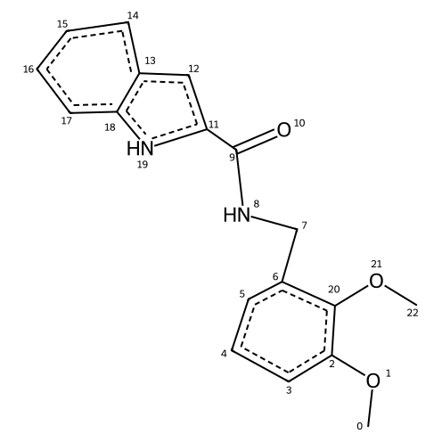 COc1cccc(CNC(=O)c2cc3ccccc3[nH]2)c1OC